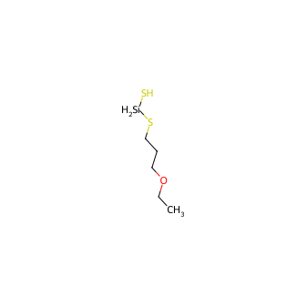 CCOCCCS[SiH2]S